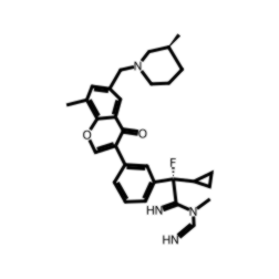 Cc1cc(CN2CCC[C@H](C)C2)cc2c(=O)c(-c3cccc([C@](F)(C(=N)N(C)C=N)C4CC4)c3)coc12